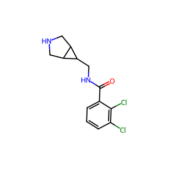 O=C(NCC1C2CNCC21)c1cccc(Cl)c1Cl